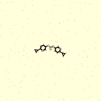 B(Oc1ccc(C2CC2)nc1)Oc1ccc(C2CC2)nc1